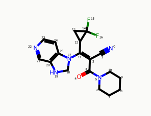 N#CC(C(=O)N1CCCCC1)=C(C1CC1(F)F)N1CNc2cnccc21